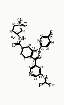 C[C@]1(NC(=O)[C@@H]2CCc3c(-c4cncc(OC(F)F)c4)nn(-c4ccc(F)cn4)c3C2)CCS(=O)(=O)C1